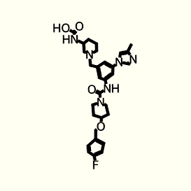 Cc1cn(-c2cc(CN3CCCC(NC(=O)O)C3)cc(NC(=O)N3CCC(OCc4ccc(F)cc4)CC3)c2)cn1